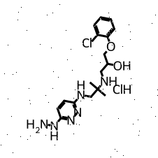 CC(C)(CNc1ccc(NN)nn1)NCC(O)COc1ccccc1Cl.Cl